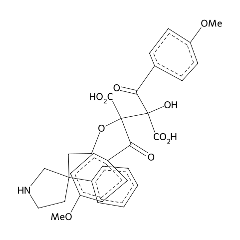 COc1ccc(C(=O)C(O)(C(=O)O)C(OCCC2(c3ccccc3)CCNC2)(C(=O)O)C(=O)c2ccc(OC)cc2)cc1